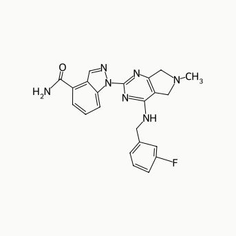 CN1Cc2nc(-n3ncc4c(C(N)=O)cccc43)nc(NCc3cccc(F)c3)c2C1